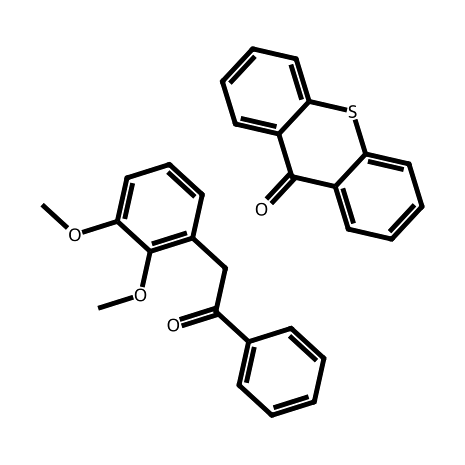 COc1cccc(CC(=O)c2ccccc2)c1OC.O=c1c2ccccc2sc2ccccc12